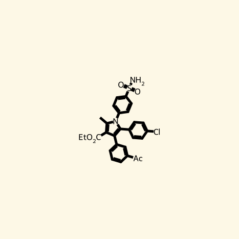 CCOC(=O)c1c(-c2cccc(C(C)=O)c2)c(-c2ccc(Cl)cc2)n(-c2ccc(S(N)(=O)=O)cc2)c1C